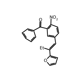 CCC(=Cc1ccc([N+](=O)[O-])c(C(=O)c2ccccc2)c1)c1ccco1